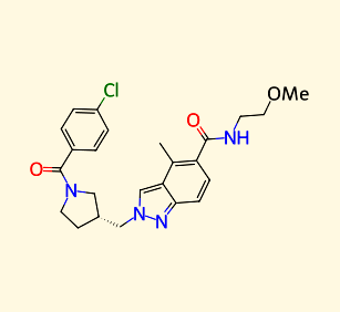 COCCNC(=O)c1ccc2nn(C[C@@H]3CCN(C(=O)c4ccc(Cl)cc4)C3)cc2c1C